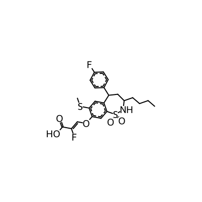 CCCCC1CC(c2ccc(F)cc2)c2cc(SC)c(O/C=C(\F)C(=O)O)cc2S(=O)(=O)N1